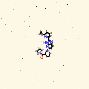 O=C(C1CCCN(c2ccc3nc(-c4cccc(C5CC5)n4)[nH]c3n2)C1)N1CCCC1